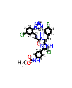 COC(=O)Nc1ccc(-c2nc([C@H](Cc3ccc(F)cc3)NC(=O)/C=C/c3cc(Cl)ccc3-n3cnnn3)[nH]c2Cl)cc1